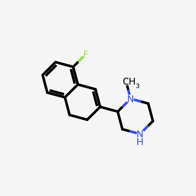 CN1CCNCC1C1=Cc2c(F)cccc2CC1